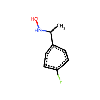 CC(NO)c1ccc(F)cc1